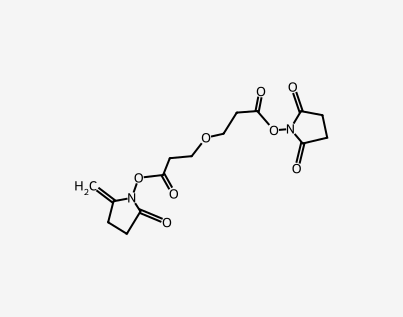 C=C1CCC(=O)N1OC(=O)CCOCCC(=O)ON1C(=O)CCC1=O